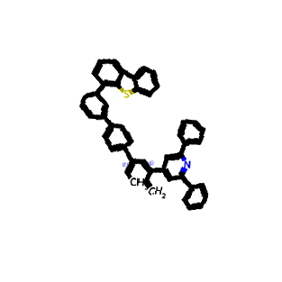 C=C/C(=C\C(=C/C)c1ccc(C2=CC(c3cccc4c3sc3ccccc34)CC=C2)cc1)c1cc(-c2ccccc2)nc(-c2ccccc2)c1